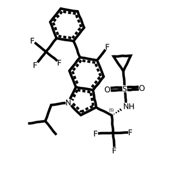 CC(C)Cn1cc([C@H](NS(=O)(=O)C2CC2)C(F)(F)F)c2cc(F)c(-c3ccccc3C(F)(F)F)cc21